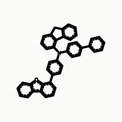 c1ccc(-c2ccc(N(c3ccc(-c4cccc5c4oc4ccccc45)cc3)c3cccc4c3-c3ccccc3C4)cc2)cc1